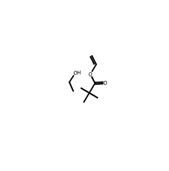 C=COC(=O)C(C)(C)C.CCO